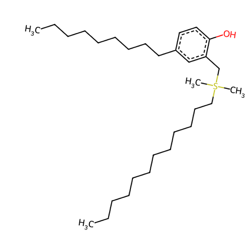 CCCCCCCCCCCCS(C)(C)Cc1cc(CCCCCCCCC)ccc1O